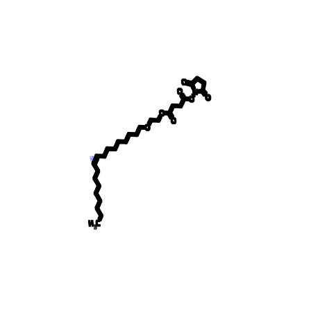 CCCCCCCC/C=C\CCCCCCCCOCCOC(=O)CCC(=O)ON1C(=O)CCC1=O